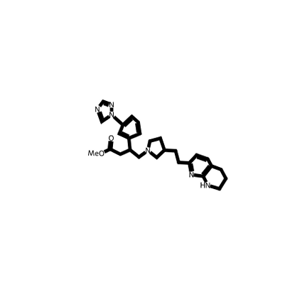 COC(=O)CC(CN1CCC(CCc2ccc3c(n2)NCCC3)C1)c1cccc(-n2cncn2)c1